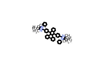 CC1(C)N=C(c2ccc(-c3c4ccccc4c(-c4ccc(C5=NC(C)(C)C(C)(C)N5c5ccccc5)cc4)c4c5ccccc5c5ccccc5c34)cc2)N(c2ccccc2)C1(C)C